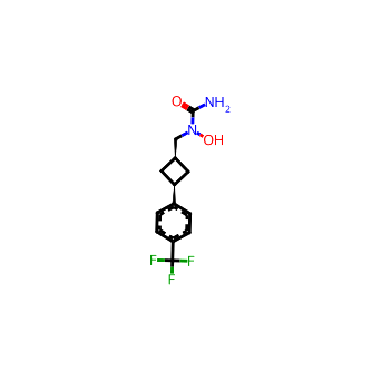 NC(=O)N(O)C[C@H]1C[C@@H](c2ccc(C(F)(F)F)cc2)C1